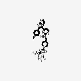 CC(C)(C)OC(=O)N1CCC(CNc2nccc(-c3c(-c4ccc(F)cc4)nc4sccn34)n2)CC1